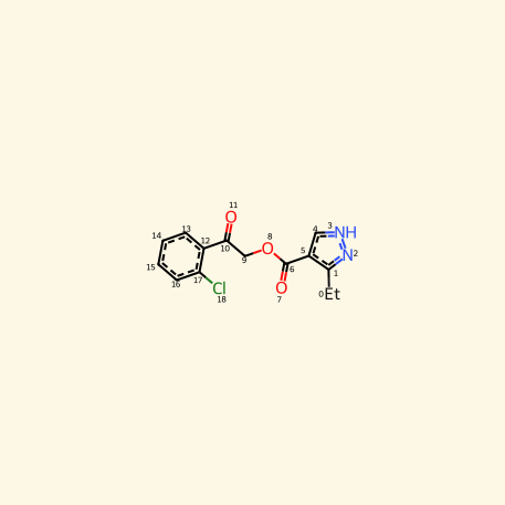 CCc1n[nH]cc1C(=O)OCC(=O)c1ccccc1Cl